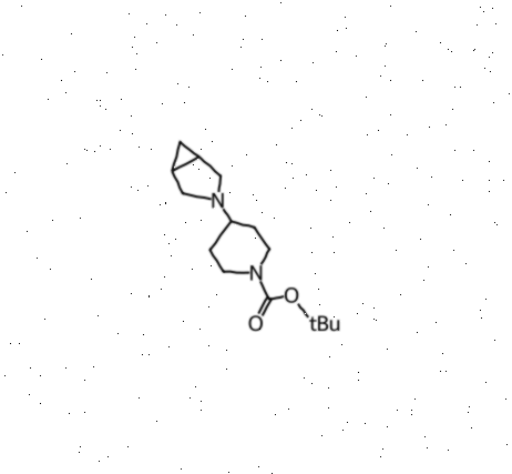 CC(C)(C)OC(=O)N1CCC(N2CC3CC3C2)CC1